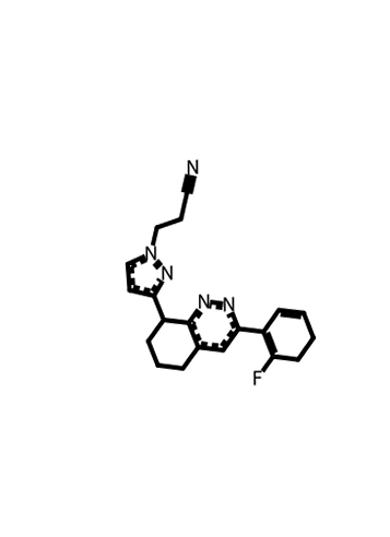 N#CCCn1ccc(C2CCCc3cc(C4=C(F)CCC=C4)nnc32)n1